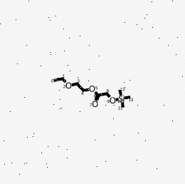 CCOCCOC(=O)CO[Si](C)(C)C